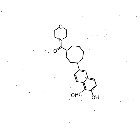 O=Cc1c(O)ccc2cc(C3CCCCC(C(=O)N4CCOCC4)CC3)ccc12